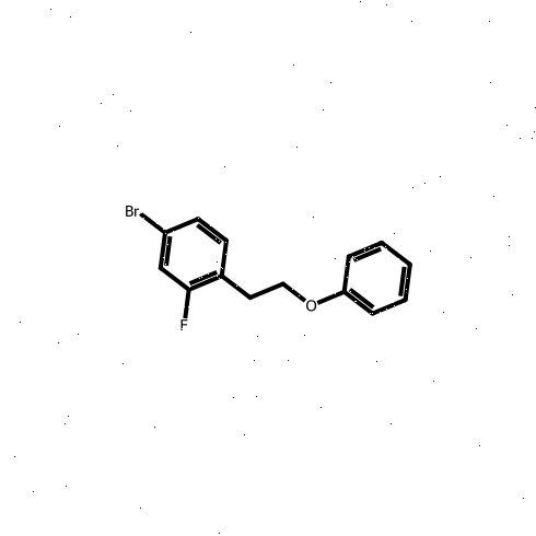 Fc1cc(Br)ccc1CCOc1ccccc1